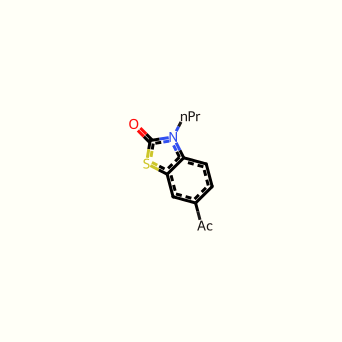 CCCn1c(=O)sc2cc(C(C)=O)ccc21